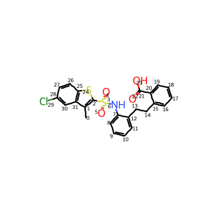 Cc1c(S(=O)(=O)Nc2ccccc2CCc2ccccc2C(=O)O)sc2ccc(Cl)cc12